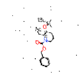 CC(=O)C[C@H]1[C@H](O[Si](C)(C)C(C)(C)C)CCCN1C(=O)OCc1ccccc1